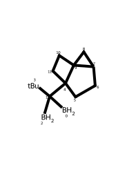 BC(B)(C(C)(C)C)C12CCC3CC31CC2